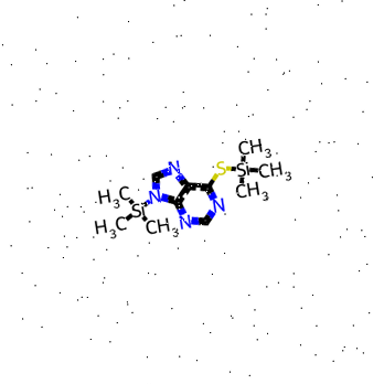 C[Si](C)(C)Sc1ncnc2c1ncn2[Si](C)(C)C